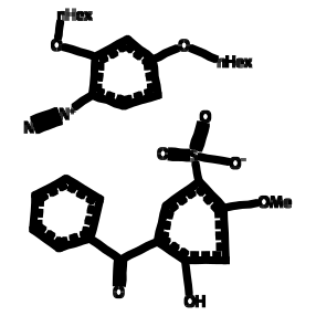 CCCCCCOc1ccc([N+]#N)c(OCCCCCC)c1.COc1cc(O)c(C(=O)c2ccccc2)cc1S(=O)(=O)[O-]